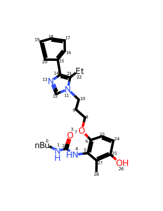 CCCCNC(=O)Nc1c(OCCCn2cnc(-c3ccccc3)c2CC)ccc(O)c1C